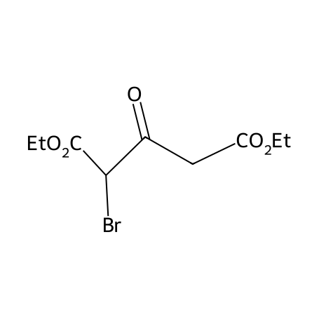 CCOC(=O)CC(=O)C(Br)C(=O)OCC